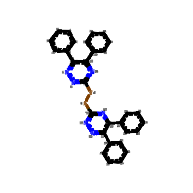 c1ccc(-c2nnc(SSc3nnc(-c4ccccc4)c(-c4ccccc4)n3)nc2-c2ccccc2)cc1